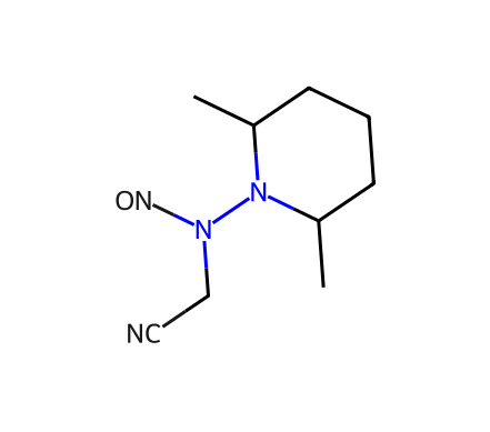 CC1CCCC(C)N1N(CC#N)N=O